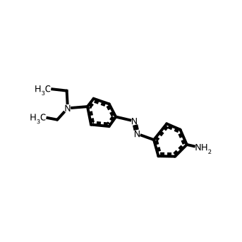 CCN(CC)c1ccc(N=Nc2ccc(N)cc2)cc1